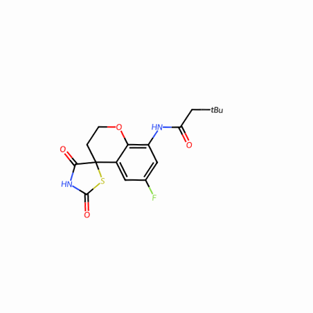 CC(C)(C)CC(=O)Nc1cc(F)cc2c1OCCC21SC(=O)NC1=O